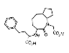 O=C(O)CN1C(=O)C(N[C@@H](CCc2ccccc2)C(=O)O)CCCC2CCCC21